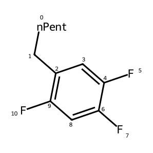 CCCCCCc1cc(F)c(F)cc1F